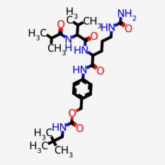 CC(C)C(=O)NC(C(=O)NC(CCCNC(N)=O)C(=O)Nc1ccc(COC(=O)NCC(C)(C)C)cc1)C(C)C